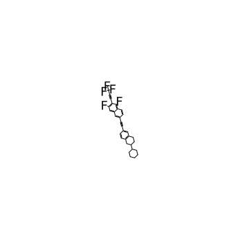 Fc1cc2cc(C#Cc3ccc4c(c3)CCC(C3CCCCC3)C4)ccc2c(F)c1C#CC(F)(F)F